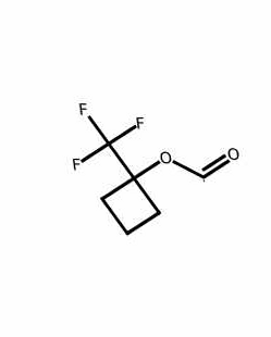 O=[C]OC1(C(F)(F)F)CCC1